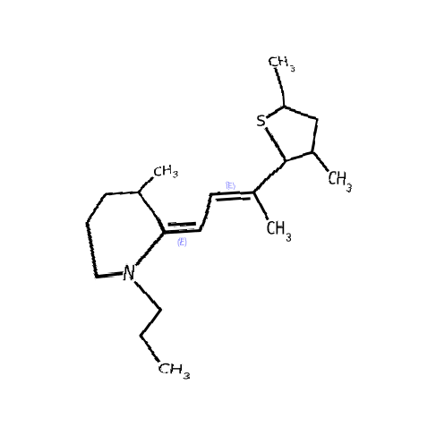 CCCN1CCCC(C)/C1=C\C=C(/C)C1SC(C)CC1C